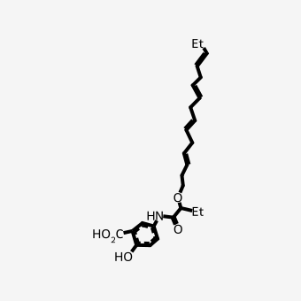 CCC=CCC=CCC=CCC=CCCOC(CC)C(=O)Nc1ccc(O)c(C(=O)O)c1